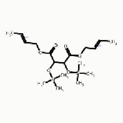 C/C=C/COC(=O)C(O[Si](C)(C)C)C(O[Si](C)(C)C)C(=O)OC/C=C/C